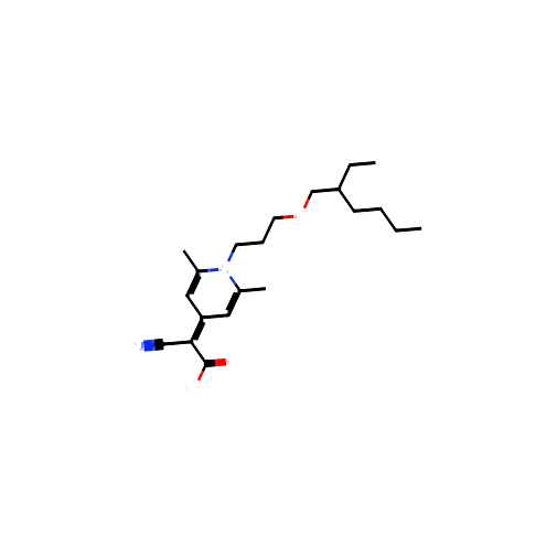 CCCCC(CC)COCCCN1C(C)=CC(=C(C#N)C(=O)O)C=C1C